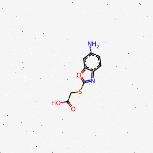 Nc1ccc2nc(SCC(=O)O)oc2c1